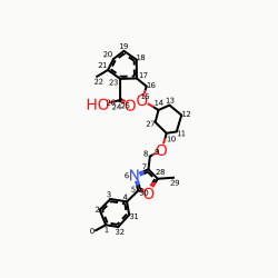 Cc1ccc(-c2nc(COC3CCCC(OCc4cccc(C)c4C(=O)O)C3)c(C)o2)cc1